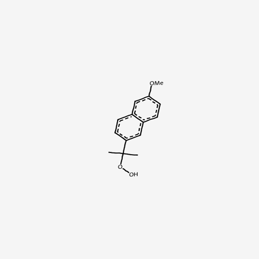 COc1ccc2cc(C(C)(C)OO)ccc2c1